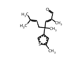 CC(C)=CCC(C)(/C=C(\C)C=O)c1csc(C)c1